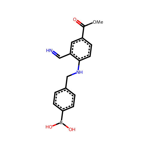 COC(=O)c1ccc(NCc2ccc(B(O)O)cc2)c(C=N)c1